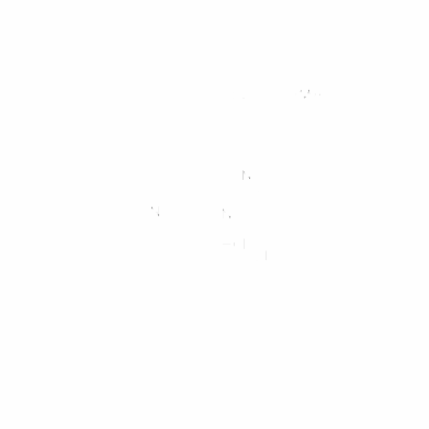 COc1c(Cl)cc(N2CCN(Cc3cncc(-c4ccc(F)cc4)c3)CC2)cc1Cl.Cl.Cl